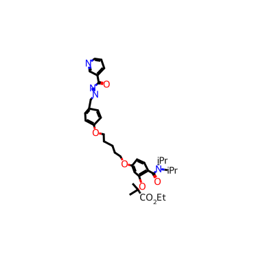 CCOC(=O)C(C)(C)Oc1cc(OCCCCCOc2ccc(CN=NC(=O)c3cccnc3)cc2)ccc1C(=O)N(C(C)C)C(C)C